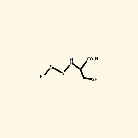 CCSSNC(CS)C(=O)O